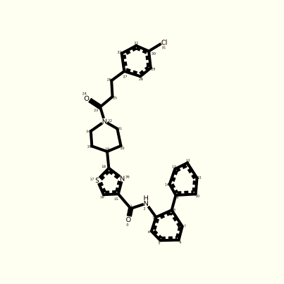 O=C(Nc1ccccc1-c1ccccc1)c1csc(C2CCN(C(=O)CCc3ccc(Cl)cc3)CC2)n1